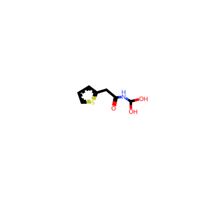 O=C(Cc1cccs1)NC(O)O